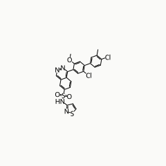 COc1cc(-c2ccc(Cl)c(C)c2)c(Cl)cc1-c1nncc2cc(S(=O)(=O)Nc3ccsn3)ccc12